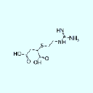 N=C(N)NCCSC(CC(=O)O)C(=O)O